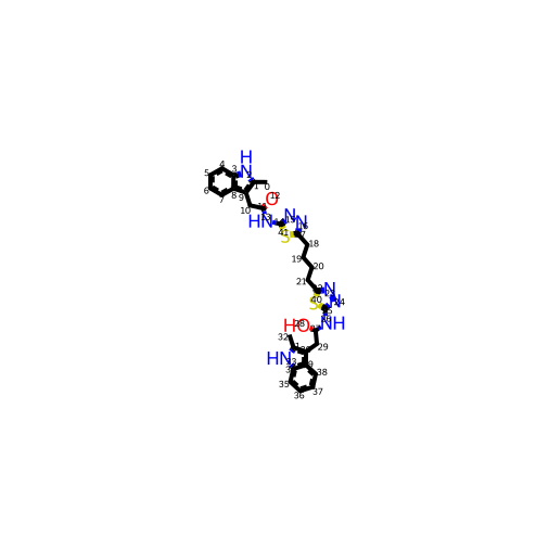 Cc1[nH]c2ccccc2c1CC(=O)Nc1nnc(CCCCc2nnc(NC(O)Cc3c(C)[nH]c4ccccc34)s2)s1